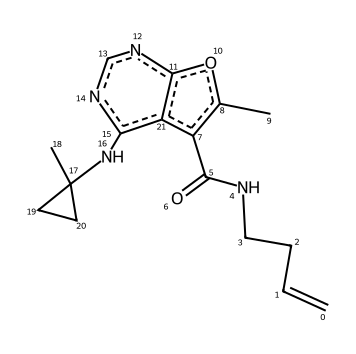 C=CCCNC(=O)c1c(C)oc2ncnc(NC3(C)CC3)c12